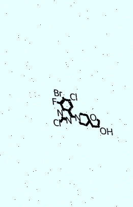 OC1COC2(CCN(c3nc(Cl)nc4c(F)c(Br)c(Cl)cc34)CC2)C1